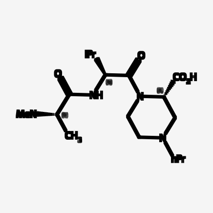 CCCN1CCN(C(=O)[C@@H](NC(=O)[C@H](C)NC)C(C)C)[C@H](C(=O)O)C1